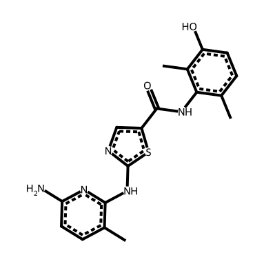 Cc1ccc(N)nc1Nc1ncc(C(=O)Nc2c(C)ccc(O)c2C)s1